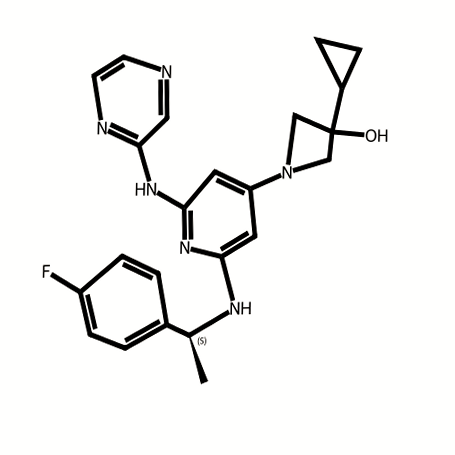 C[C@H](Nc1cc(N2CC(O)(C3CC3)C2)cc(Nc2cnccn2)n1)c1ccc(F)cc1